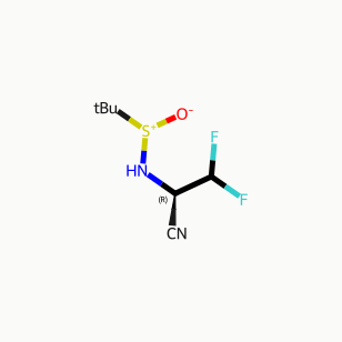 CC(C)(C)[S+]([O-])N[C@H](C#N)C(F)F